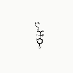 CCCOC(=O)C(F)(F)c1ccc(Br)cn1